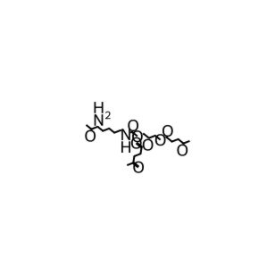 CC(=O)CCC(=O)OCC(COC(=O)NCCCCC(N)C(C)=O)OC(=O)CCC(C)=O